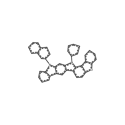 c1ccc(-n2c3cc4c(cc3c3ccc5oc6ccccc6c5c32)c2ccccc2n4-c2ccc3ccccc3c2)cc1